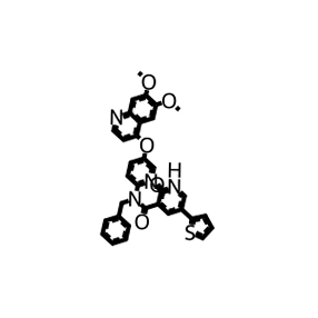 COc1cc2nccc(Oc3ccc(N(Cc4ccccc4)C(=O)c4cc(-c5cccs5)c[nH]c4=O)nc3)c2cc1OC